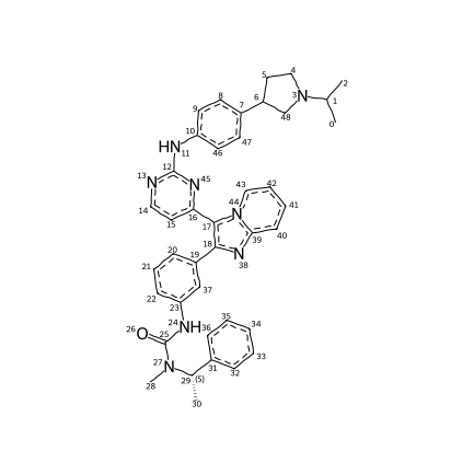 CC(C)N1CCC(c2ccc(Nc3nccc(-c4c(-c5cccc(NC(=O)N(C)[C@@H](C)c6ccccc6)c5)nc5ccccn45)n3)cc2)C1